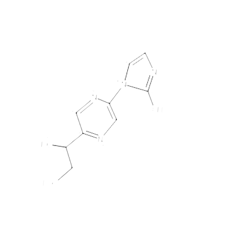 CCC(C)c1cnc(-n2ccnc2C)cn1